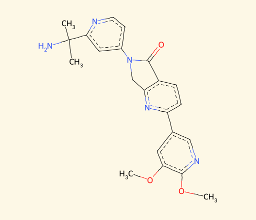 COc1cc(-c2ccc3c(n2)CN(c2ccnc(C(C)(C)N)c2)C3=O)cnc1OC